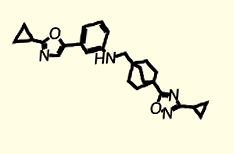 c1cc(NCC23CCC(c4nc(C5CC5)no4)(CC2)CC3)cc(-c2cnc(C3CC3)o2)c1